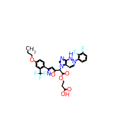 CCCOc1ccc(-c2cc(C(C(=O)OCCC(=O)O)n3cnc4c3C=CN(c3cccc(F)c3F)N4)on2)c(C(F)(F)F)c1